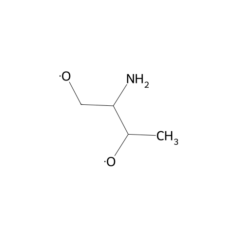 CC([O])C(N)C[O]